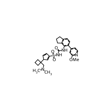 COc1cc(-c2ccc3c(c2NC(=O)NS(=O)(=O)C2=CC(C4(CN(C)C)CCC4)C=C2)CCC3)ccn1